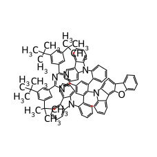 CC(C)(C)c1cc(-c2nc(-c3cc(C(C)(C)C)cc(C(C)(C)C)c3)nc(-c3cc(-c4ccccc4-n4c5ccccc5c5ccccc54)c(-n4c5ccccc5c5c6oc7ccccc7c6ccc54)c(-c4ccccc4-n4c5ccccc5c5ccccc54)c3)n2)cc(C(C)(C)C)c1